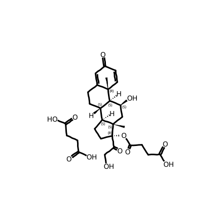 C[C@]12C=CC(=O)C=C1CC[C@@H]1[C@@H]2[C@@H](O)C[C@@]2(C)[C@H]1CC[C@]2(OC(=O)CCC(=O)O)C(=O)CO.O=C(O)CCC(=O)O